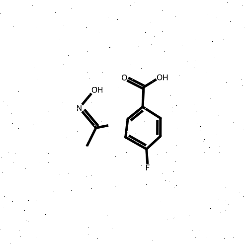 CC(C)=NO.O=C(O)c1ccc(F)cc1